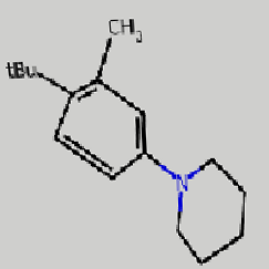 Cc1cc(N2CCCCC2)ccc1C(C)(C)C